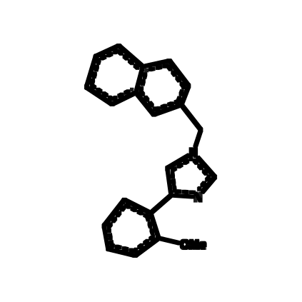 COc1ccccc1-c1cn(Cc2ccc3ccccc3c2)cn1